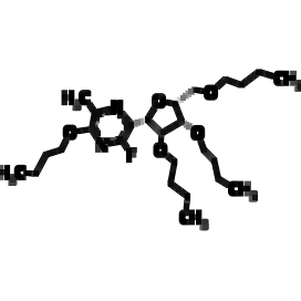 CCCCOC[C@H]1O[C@@H](c2nc(C)c(OCCCC)nc2F)C(OCCCC)[C@H]1OCCCC